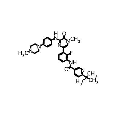 CN1CCN(c2ccc(Nc3nc(-c4cccc(NC(=O)c5ccc(C(C)(C)C)nc5)c4F)cn(C)c3=O)cc2)CC1